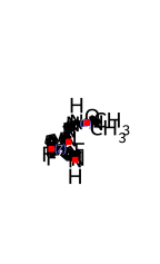 CN(C)C(=O)/C=C/CNN1CCN(c2ccc(/C(=C(/CC(F)(F)F)c3ccccc3)c3ccc4[nH]nc(F)c4c3)cn2)C1